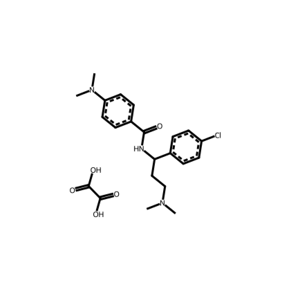 CN(C)CCC(NC(=O)c1ccc(N(C)C)cc1)c1ccc(Cl)cc1.O=C(O)C(=O)O